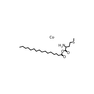 CCCCCCCCCCCCCCCC(=O)OC(=O)C(N)CCSC.[Co]